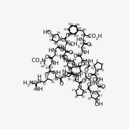 C[C@H](NC(=O)[C@@H]1CCCN1C(=O)CNC(=O)[C@@H]1C[C@@H](O)CN1C(=O)[C@@H]1CCCN1C(=O)CNC(=O)[C@@H]1C[C@@H](O)CN1C(=O)[C@H](CCC(=O)O)NC(=O)CNC(=O)[C@H](CCCNC(=N)N)NC(=O)[C@H](CC(=O)O)NC(=O)CNC(=O)[C@@H]1C[C@@H](O)CN1C(=O)[C@H](C)NC(=O)CN)C(=O)NCC(=O)N[C@@H](Cc1ccccc1)C(=O)O